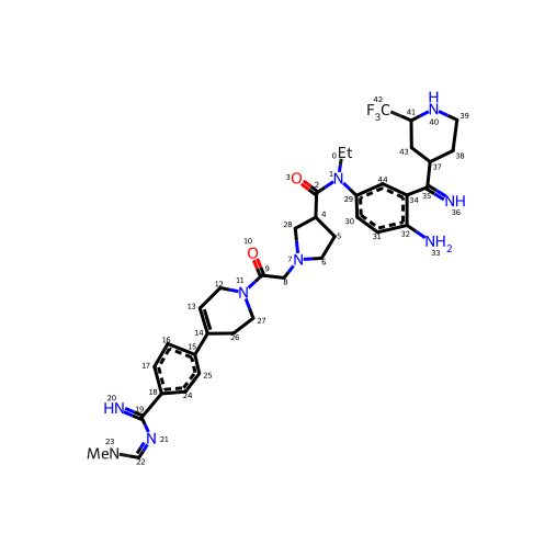 CCN(C(=O)C1CCN(CC(=O)N2CC=C(c3ccc(C(=N)/N=C\NC)cc3)CC2)C1)c1ccc(N)c(C(=N)C2CCNC(C(F)(F)F)C2)c1